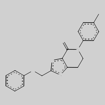 Cc1ccc(N2CCc3nc(COc4ccccc4)oc3C2=O)cc1